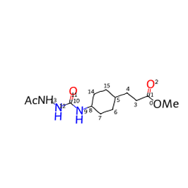 COC(=O)CCC1CCC(NC(=O)NNC(C)=O)CC1